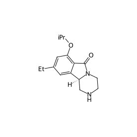 CCc1cc(OC(C)C)c2c(c1)[C@@H]1CNCCN1C2=O